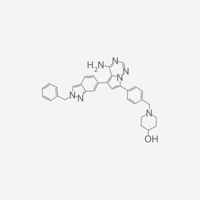 Nc1ncnn2c(-c3ccc(CN4CCC(O)CC4)cc3)cc(-c3ccc4cn(Cc5ccccc5)nc4c3)c12